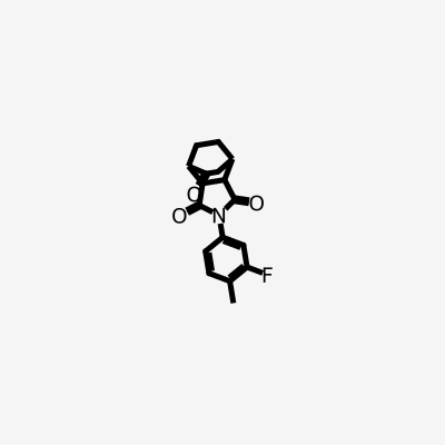 Cc1ccc(N2C(=O)C3C4CCC(C(=O)C4)C3C2=O)cc1F